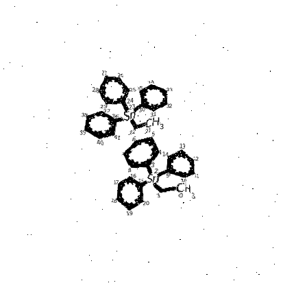 C[CH2][Sn]([c]1ccccc1)([c]1ccccc1)[c]1ccccc1.C[CH2][Sn]([c]1ccccc1)([c]1ccccc1)[c]1ccccc1